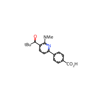 CNc1nc(-c2ccc(C(=O)O)cc2)ccc1C(=O)C(C)(C)C